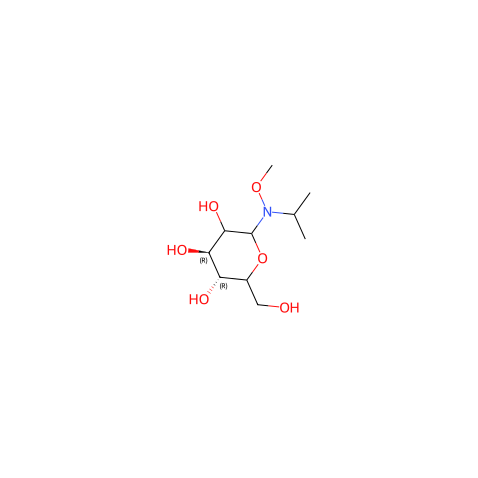 CON(C(C)C)C1OC(CO)[C@H](O)[C@@H](O)C1O